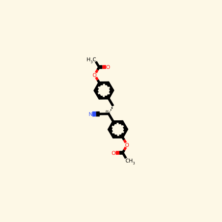 CC(=O)Oc1ccc(C[C@@H](C#N)c2ccc(OC(C)=O)cc2)cc1